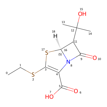 CCSC1=C(C(=O)O)N2C(=O)C(C(C)(C)O)[C@@H]2S1